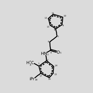 Cc1c(NC(=O)CCc2ccccc2)cccc1C(C)C